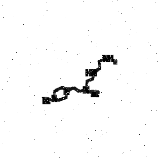 CCN(CCNCCN)CCN1CCN(CC)CC1